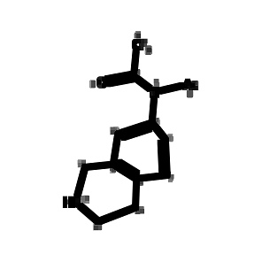 CC(=O)N(C(=O)C(F)(F)F)c1ccc2c(c1)CNCC2